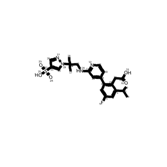 CC(C)c1cc(F)cc(-c2ccnc(NCC(C)(C)n3cc(S(=O)(=O)O)cn3)c2)c1CC(=O)O